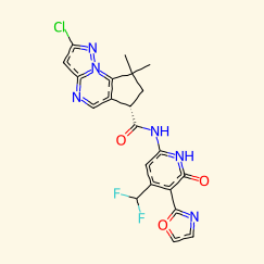 CC1(C)C[C@H](C(=O)Nc2cc(C(F)F)c(-c3ncco3)c(=O)[nH]2)c2cnc3cc(Cl)nn3c21